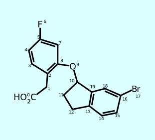 O=C(O)Cc1ccc(F)cc1OC1CCc2ccc(Br)cc21